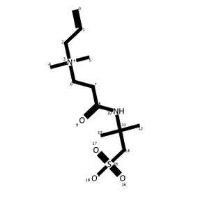 C=CC[N+](C)(C)CCC(=O)NC(C)(C)CS(=O)(=O)[O-]